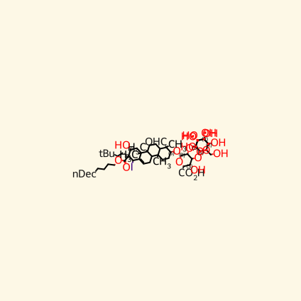 CCCCCCCCCCCCCCOC(=O)[C@]1(CCC(C)(C)C)C(I)C2=CCC3C4(C)CC[C@H](O[C@@H]5OC(C(=O)O)[C@@H](O)C(O[C@@H]6OC[C@@H](O)C(O)C6O)C5O[C@@H]5OC(CO)[C@H](O)C(O)C5O)C(C)(C=O)C4CCC3(C)C2(C)C[C@@H]1O